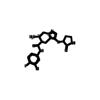 C[C@H]1Cn2ncc(OC3CCNC3=O)c2CN1C(=O)Nc1ccc(F)c(Cl)c1